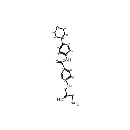 C=C(CN)COc1ccc(C(=O)Nc2ccc(C3CCOCC3)cc2)cc1